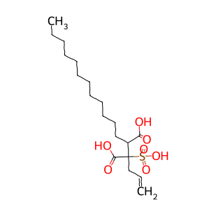 C=CCC(C(=O)O)(C(CCCCCCCCCCCC)C(=O)O)S(=O)(=O)O